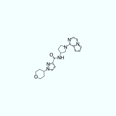 O=C(NC1CCN(c2nccn3cccc23)C1)c1ccn(C2CCOCC2)n1